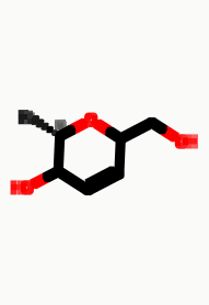 CC[C@@H]1OC(CO)C=CC1O